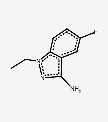 CCn1nc(N)c2cc(F)ccc21